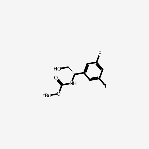 CC(C)(C)OC(=O)N[C@H](CO)c1cc(F)cc(I)c1